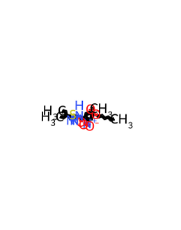 CCCCCCOc1cc([N+](=O)[O-])c(C(=O)Nc2nnc(C(CC)CC)s2)cc1OC